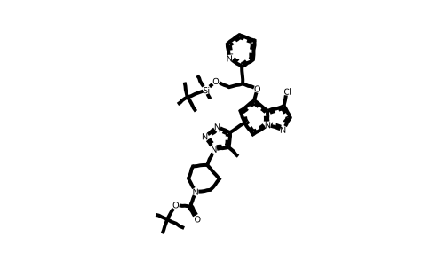 Cc1c(-c2cc(OC(CO[Si](C)(C)C(C)(C)C)c3ccccn3)c3c(Cl)cnn3c2)nnn1C1CCN(C(=O)OC(C)(C)C)CC1